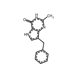 Cc1nc2c(Cc3ccccc3)c[nH]c2c(=O)[nH]1